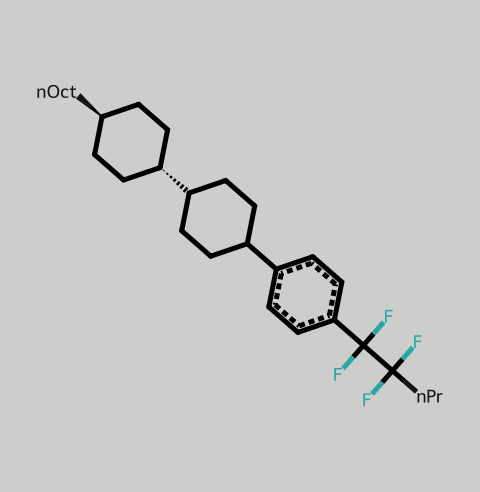 CCCCCCCC[C@H]1CC[C@H](C2CCC(c3ccc(C(F)(F)C(F)(F)CCC)cc3)CC2)CC1